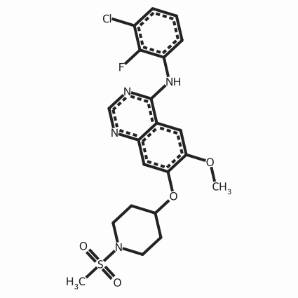 COc1cc2c(Nc3cccc(Cl)c3F)ncnc2cc1OC1CCN(S(C)(=O)=O)CC1